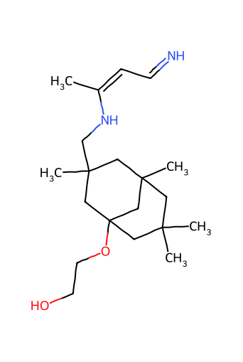 C/C(=C/C=N)NCC1(C)CC2(C)CC(C)(C)CC(OCCO)(C1)C2